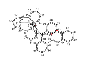 C1=CC2=C(c3cccc4c3-c3ccccc3-c3cccc-4c32)C(N(c2ccccc2)c2ccccc2-c2ccc3ccccc3c2)C1